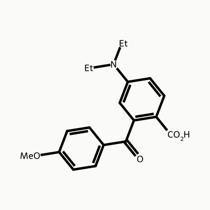 CCN(CC)c1ccc(C(=O)O)c(C(=O)c2ccc(OC)cc2)c1